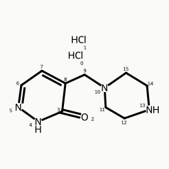 Cl.Cl.O=c1[nH]nccc1CN1CCNCC1